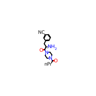 CCCC(=O)N1CCN(C(=O)[C@@H](N)Cc2cccc(C#N)c2)CC1